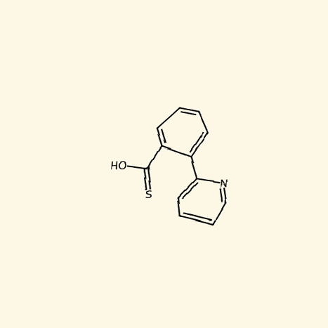 OC(=S)c1ccccc1-c1ccccn1